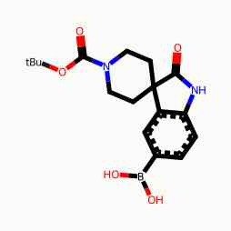 CC(C)(C)OC(=O)N1CCC2(CC1)C(=O)Nc1ccc(B(O)O)cc12